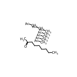 CC(C)=O.CC(C)=O.CC(C)=O.CC(C)=O.CC(C)=O.CC(C)=O.CC(C)=O.CCCCCCCC(C)=O